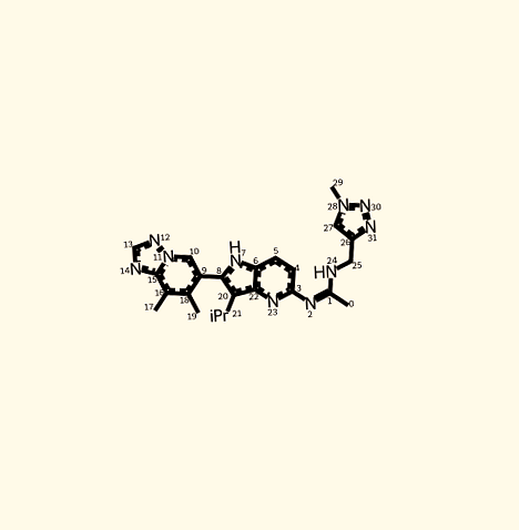 C/C(=N/c1ccc2[nH]c(-c3cn4ncnc4c(C)c3C)c(C(C)C)c2n1)NCc1cn(C)nn1